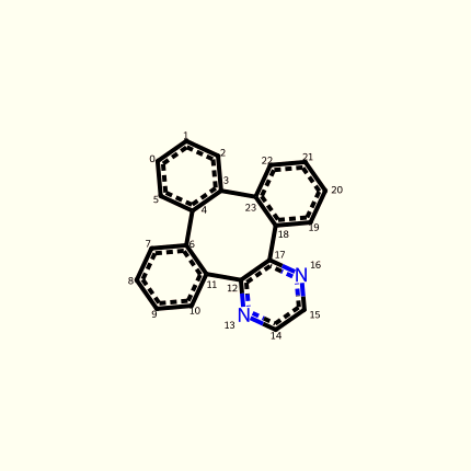 c1ccc2c(c1)-c1ccccc1-c1nccnc1-c1ccccc1-2